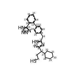 SCCC(c1n[nH]c(Cc2ccc(-c3ccccc3-c3nnn[nH]3)cc2)n1)C1CCCCC1